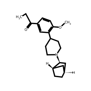 CCC(=O)c1ccc(OC)c(C2CCN([C@H]3C[C@H]4CC[C@H]3C4)CC2)c1